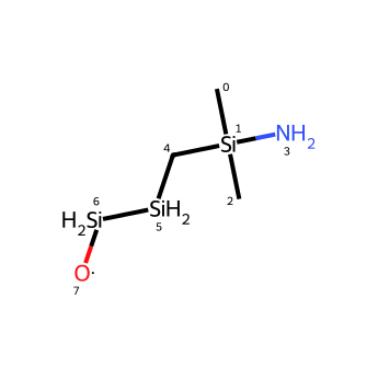 C[Si](C)(N)C[SiH2][SiH2][O]